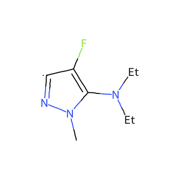 CCN(CC)c1c(F)[c]nn1C